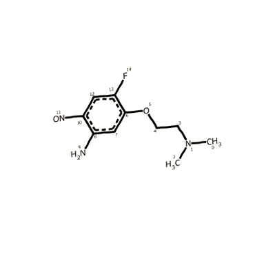 CN(C)CCOc1cc(N)c(N=O)cc1F